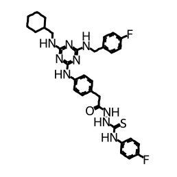 O=C(Cc1ccc(Nc2nc(NCc3ccc(F)cc3)nc(NCC3CCCCC3)n2)cc1)NNC(=S)Nc1ccc(F)cc1